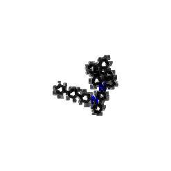 c1ccc(-c2ccc(-c3ccc(-n4c5ccccc5c5ccc(-n6c7ccccc7c7c([Si](c8ccccc8)(c8ccccc8)c8ccccc8)cccc76)cc54)cc3)cc2)cc1